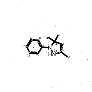 CC1=CC(C)(C)N(c2ccccc2)N1